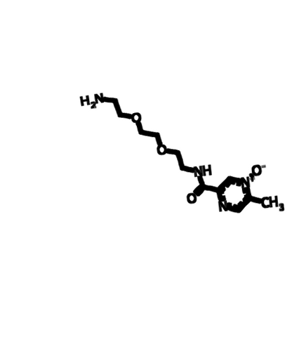 Cc1cnc(C(=O)NCCOCCOCCN)c[n+]1[O-]